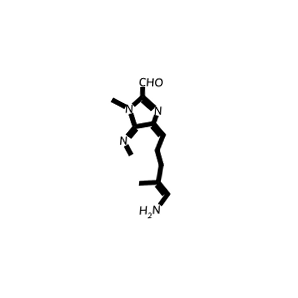 C/N=C1\C(=C/CC/C(C)=C/N)N=C(C=O)N1C